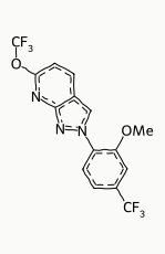 COc1cc(C(F)(F)F)ccc1-n1cc2ccc(OC(F)(F)F)nc2n1